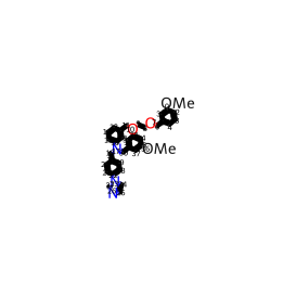 COc1cccc(COCCOCc2cccc(N(Cc3ccc(-n4ccnc4)cc3)Cc3cccc(OC)c3)c2)c1